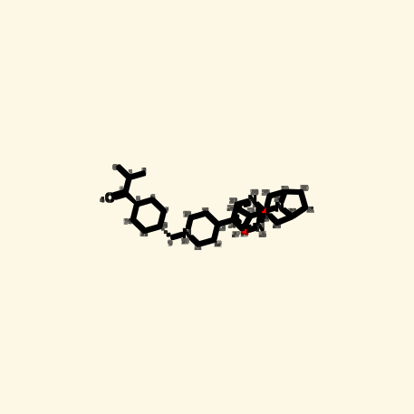 CC(C)C(=O)[C@H]1CC[C@H](CN2CCC(c3cnc(N4C5CCC4CN(C(C)C)C5)nc3)CC2)CC1